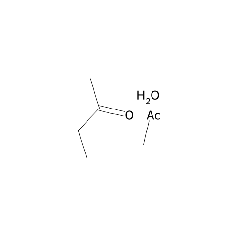 CC(C)=O.CCC(C)=O.O